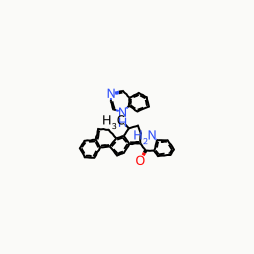 C1=CNc2ccccc2C=N1.CC1CCC(C(=O)c2ccccc2N)=c2ccc3c(c21)CC=c1ccccc1=3